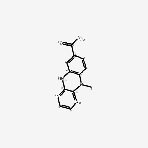 CN1c2ccc(C(N)=O)cc2Nc2nccnc21